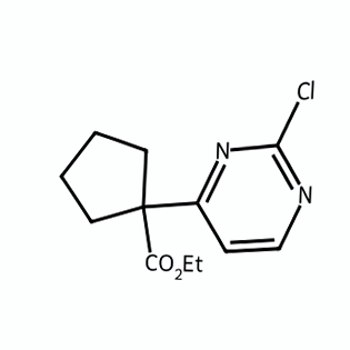 CCOC(=O)C1(c2ccnc(Cl)n2)CCCC1